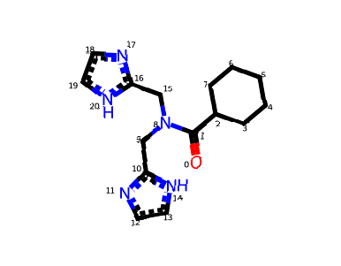 O=C(C1CCCCC1)N(Cc1ncc[nH]1)Cc1ncc[nH]1